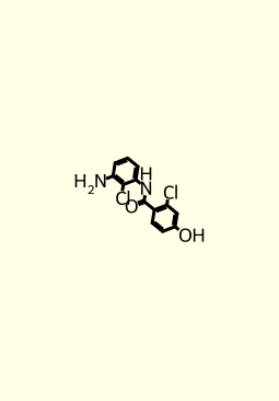 Nc1cccc(NC(=O)c2ccc(O)cc2Cl)c1Cl